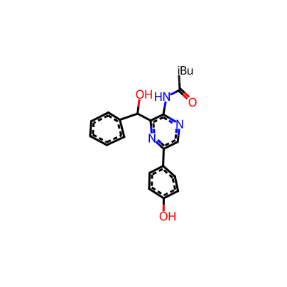 CCC(C)C(=O)Nc1ncc(-c2ccc(O)cc2)nc1C(O)c1ccccc1